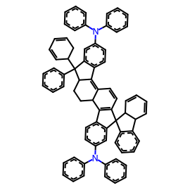 C1=CCC(C2(c3ccccc3)c3cc(N(c4ccccc4)c4ccccc4)ccc3C3=C4C=CC5=C(c6ccc(N(c7ccccc7)c7ccccc7)cc6C56c5ccccc5C5C=CC=CC56)C4CCC32)C=C1